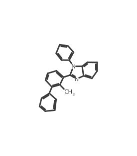 Cc1c(-c2ccccc2)cccc1-c1nc2ccccc2n1-c1ccccc1